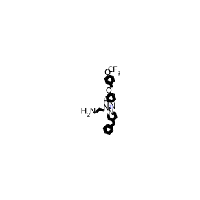 NCCCN/C(=N\c1ccc(OCc2ccc(OC(F)(F)F)cc2)cc1)N1CCC(Cc2ccccc2)CC1